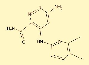 Cc1ccc(Nc2cc(N)nnc2C(N)=O)nc1C